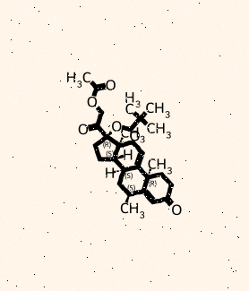 CC(=O)OCC(=O)[C@@]1(OC(=O)C(C)(C)C)CC[C@H]2[C@@H]3C[C@H](C)C4=CC(=O)CC[C@]4(C)C3=CC[C@@]21C